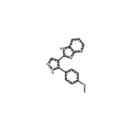 COc1ccc(-c2[nH]ncc2-c2nc3ncccc3[nH]2)cc1